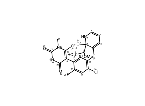 COC(C(=O)O)C1(O)NC=CC=C1Oc1cc(-c2c(C(F)(F)F)n(C)c(=O)[nH]c2=O)c(F)cc1Cl